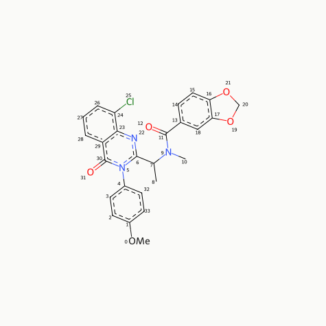 COc1ccc(-n2c(C(C)N(C)C(=O)c3ccc4c(c3)OCO4)nc3c(Cl)cccc3c2=O)cc1